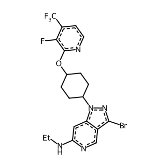 CCNc1cc2c(cn1)c(Br)nn2C1CCC(Oc2nccc(C(F)(F)F)c2F)CC1